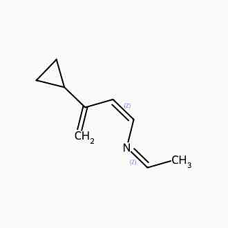 C=C(/C=C\N=C/C)C1CC1